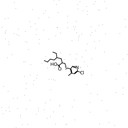 CCCCC(CC)CC(CSc1cnc(Cl)cc1C)C(=O)O